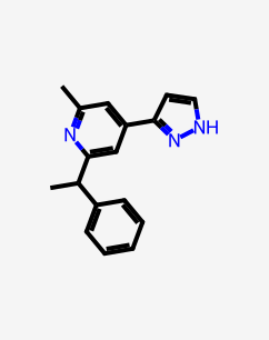 Cc1cc(-c2cc[nH]n2)cc(C(C)c2ccccc2)n1